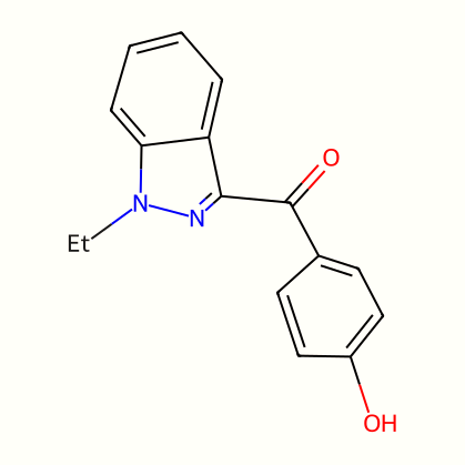 CCn1nc(C(=O)c2ccc(O)cc2)c2ccccc21